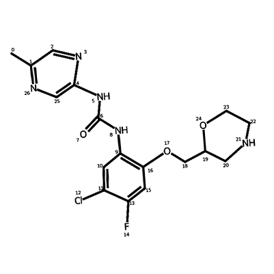 Cc1cnc(NC(=O)Nc2cc(Cl)c(F)cc2OCC2CNCCO2)cn1